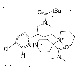 CN(C)C(=O)C1([N+]2(CCC(CN(C)C(=O)C(C)(C)C)c3ccc(Cl)c(Cl)c3)CCCCC2)CCNCC1